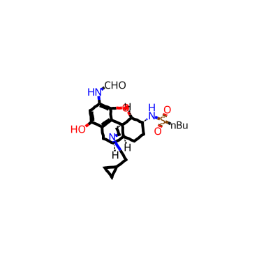 CCCCS(=O)(=O)N[C@@H]1CC[C@H]2[C@H]3Cc4c(O)cc(NC=O)c5c4[C@@]2(CCN3CC2CC2)[C@H]1O5